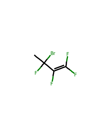 CC(F)(Br)C(F)=C(F)F